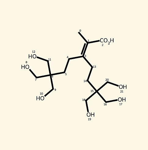 CC(C(=O)O)=C(CCC(CO)(CO)CO)CCC(CO)(CO)CO